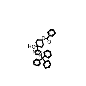 O=C(OC1CCC(O)(c2cn(C(c3ccccc3)(c3ccccc3)c3ccccc3)cn2)CC1)c1ccccc1